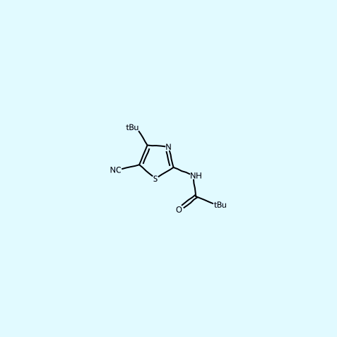 CC(C)(C)C(=O)Nc1nc(C(C)(C)C)c(C#N)s1